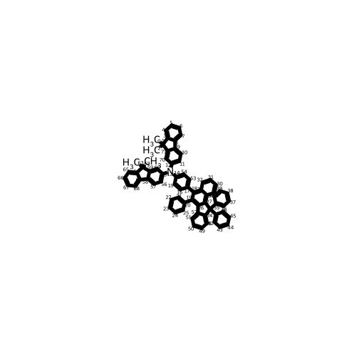 CC1(C)c2ccccc2-c2ccc(N(c3ccc(-c4c(-c5ccccc5)c5c(c6ccccc46)C(c4ccccc4)(c4ccccc4)c4ccccc4-5)cc3)c3ccc4c(c3)C(C)(C)c3ccccc3-4)cc21